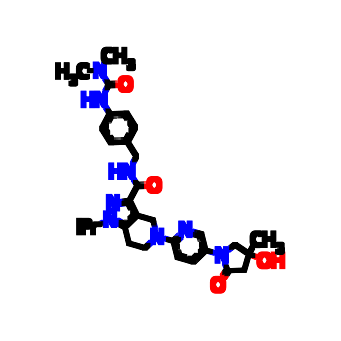 CC(C)n1nc(C(=O)NCc2ccc(NC(=O)N(C)C)cc2)c2c1CCN(c1ccc(N3CC(C)(O)CC3=O)cn1)C2